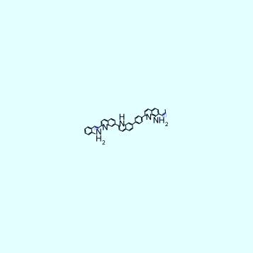 C/C=C\c1ccc2ccc(-c3ccc(C4=CC5NC(c6ccc7ccc(/C(N)=C/c8ccccc8C)nc7c6)=CC=C5C=C4)cc3)nc2c1N